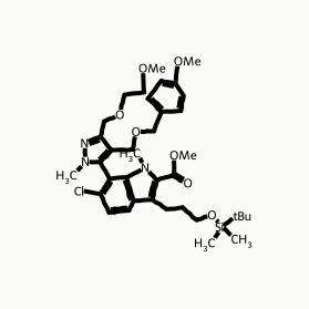 COCCOCc1nn(C)c(-c2c(Cl)ccc3c(CCCO[Si](C)(C)C(C)(C)C)c(C(=O)OC)n(C)c23)c1COCc1ccc(OC)cc1